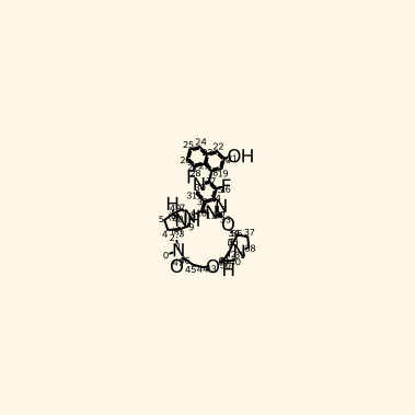 CN1C[C@@]23CC[C@@H](CN(C2)c2nc(nc4c(F)c(-c5cc(O)cc6cccc(F)c56)ncc24)OC[C@]24CCCN2C[C@@H](C4)OCCC1=O)N3